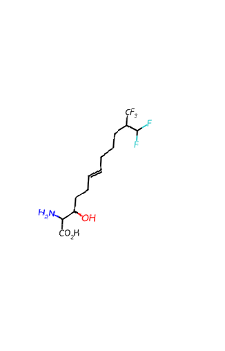 NC(C(=O)O)C(O)CC/C=C/CCCC(C(F)F)C(F)(F)F